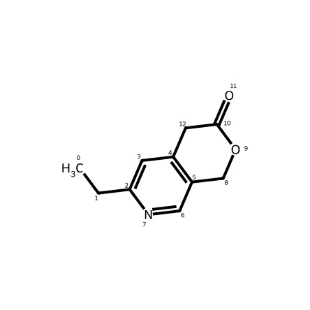 CCc1cc2c(cn1)COC(=O)C2